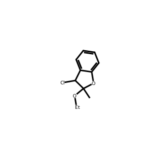 CCOC1(C)Oc2ccccc2C1Cl